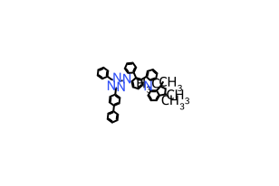 CC1(C)CC(C)(C)c2c(-n3c4ccccc4c4c5c6ccccc6n(-c6nc(-c7ccccc7)nc(-c7ccc(-c8ccccc8)cc7)n6)c5ccc43)cccc21